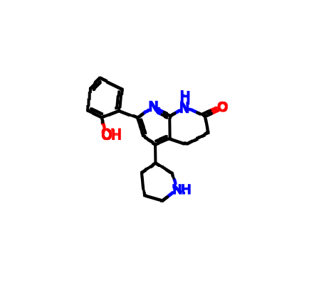 O=C1CCc2c(C3CCCNC3)cc(-c3ccccc3O)nc2N1